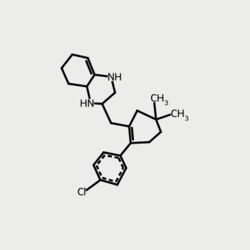 CC1(C)CCC(c2ccc(Cl)cc2)=C(CC2CNC3=CCCCC3N2)C1